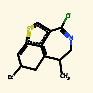 CCC1C=c2scc3c2=C(C1)C(C)CN=C3Cl